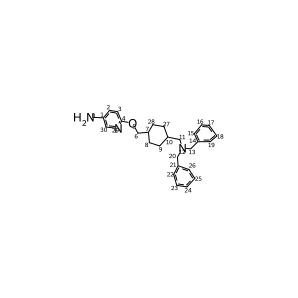 Nc1ccc(OCC2CCC(CN(Cc3ccccc3)Cc3ccccc3)CC2)nc1